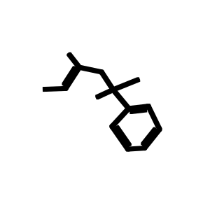 CC=C(C)CC(C)(C)c1ccccc1